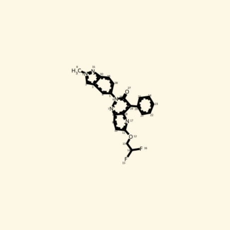 Cn1cc2cc(-n3nc4ccc(OCC(F)F)nc4c(-c4ccccc4)c3=O)ccc2n1